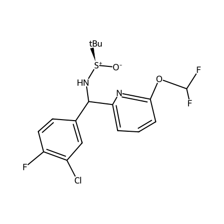 CC(C)(C)[S@@+]([O-])NC(c1ccc(F)c(Cl)c1)c1cccc(OC(F)F)n1